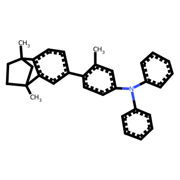 Cc1cc(N(c2ccccc2)c2ccccc2)ccc1-c1ccc2c(c1)C1(C)CCC2(C)C1